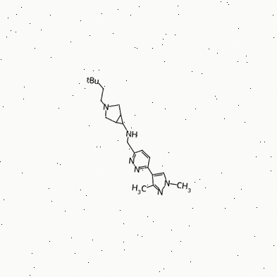 Cc1nn(C)cc1-c1ccc(CNC2C3CN(CCC(C)(C)C)CC32)nn1